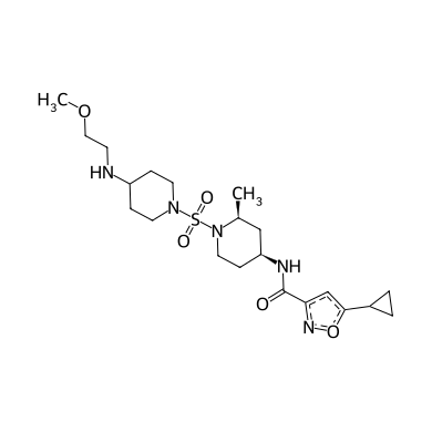 COCCNC1CCN(S(=O)(=O)N2CC[C@H](NC(=O)c3cc(C4CC4)on3)C[C@@H]2C)CC1